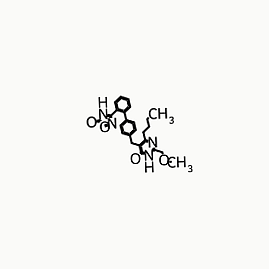 CCCCc1nc(COC)[nH]c(=O)c1Cc1ccc(-c2ccccc2-c2noc(=O)[nH]2)cc1